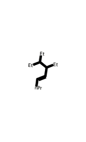 [CH2]CCC=CC(CC)C(C[CH2])CC